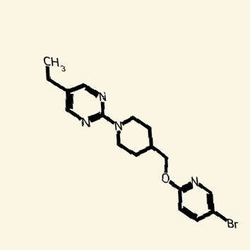 CCc1cnc(N2CCC(COc3ccc(Br)cn3)CC2)nc1